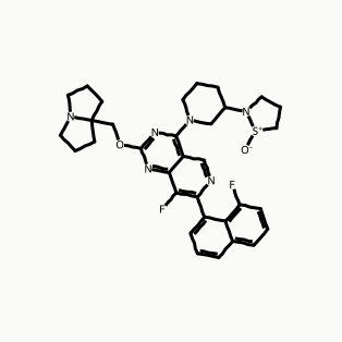 [O-][S+]1CCCN1C1CCCN(c2nc(OCC34CCCN3CCC4)nc3c(F)c(-c4cccc5cccc(F)c45)ncc23)C1